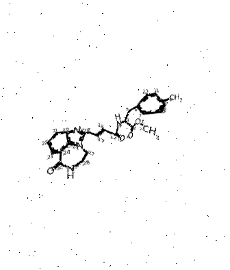 COC(=O)C(Cc1ccc(C)cc1)NC(=O)CCc1nc2cccc3c2n1CCNC3=O